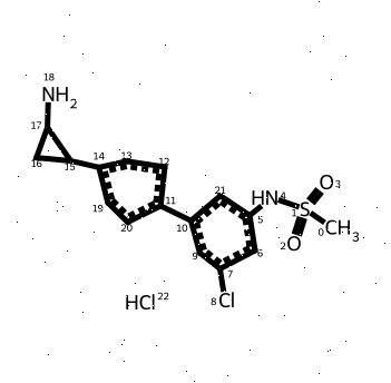 CS(=O)(=O)Nc1cc(Cl)cc(-c2ccc(C3CC3N)cc2)c1.Cl